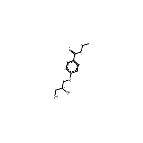 CCOC(=O)c1ccc(OCC(O)CO)cc1